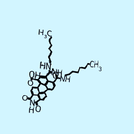 CCCCCCCCNC(=N)c1cc(C(=O)O)c2c3ccc4c5c(ccc(c6ccc(C(=O)NCCCCCCCC)c1c62)c53)C(=O)NC4=O